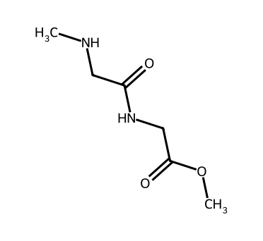 CNCC(=O)NCC(=O)OC